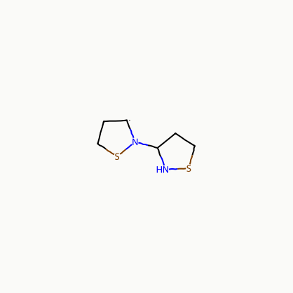 [CH]1CCSN1C1CCSN1